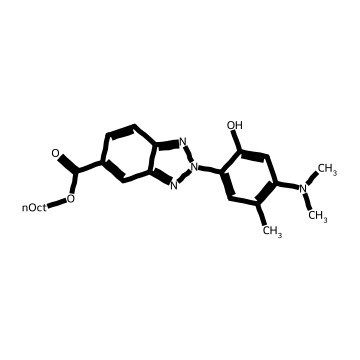 CCCCCCCCOC(=O)c1ccc2nn(-c3cc(C)c(N(C)C)cc3O)nc2c1